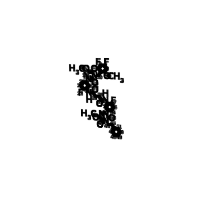 COc1cc(F)c(F)cc1Cn1c(=O)c(OC)nn(-c2ccc(F)c(NC(=O)CCC(=O)Nc3cc(-n4nc(OC)c(=O)n(CCc5ccccc5)c4=O)ccc3F)c2)c1=O